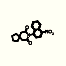 O=C1CC2(CCCC2)CC(=O)N1c1ccc([N+](=O)[O-])c2ccccc12